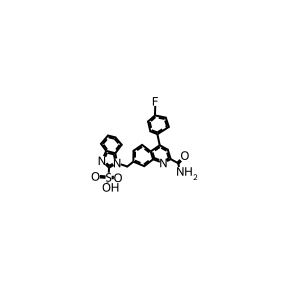 NC(=O)c1cc(-c2ccc(F)cc2)c2ccc(Cn3c(S(=O)(=O)O)nc4ccccc43)cc2n1